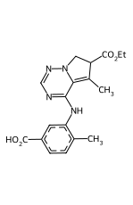 CCOC(=O)C1CN2N=CN=C(Nc3cc(C(=O)O)ccc3C)C2=C1C